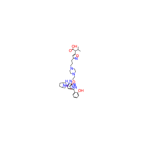 CC(C)C(C(=O)O)c1cc(CCCN2CCN(CCOc3cc(N4C5CCC4CN(c4cc(-c6ccccc6O)nnc4N)C5)ccn3)CC2)no1